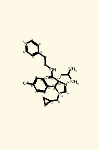 CC(C)C[C@]1(C(=O)NCCc2ccncc2)N=CN(CC2CC2)[C@H]1c1ccc(Cl)cc1